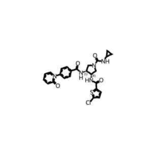 O=C(N[C@H]1CN(C(=O)NC2CC2)C[C@H]1NC(=O)c1ccc(Cl)s1)c1ccc(-n2ccccc2=O)cc1